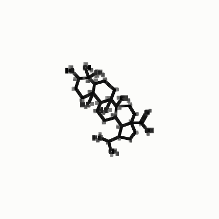 CC(C)C1CCC2(C(=O)O)CCC3(C)C(CCC4C5(C)CCC(O)C(C)(C)C5CCC43C)C12